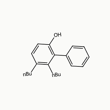 CCCCc1ccc(O)c(-c2ccccc2)c1CCCC